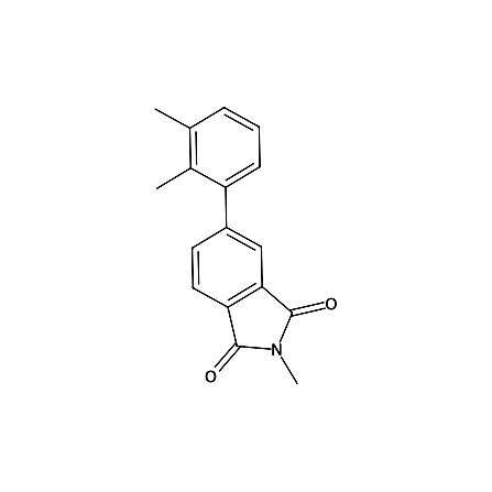 Cc1cccc(-c2ccc3c(c2)C(=O)N(C)C3=O)c1C